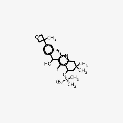 CC(C)c1nc2c(c(I)c1C(O)c1ccc(C3(C)COC3)cc1)C(O[Si](C)(C)C(C)(C)C)CC(C)(C)C2